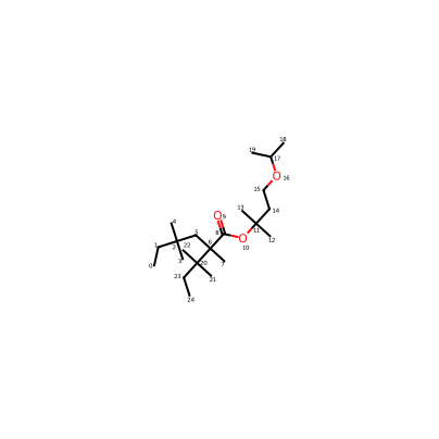 CCC(C)(C)CC(C)(C(=O)OC(C)(C)CCOC(C)C)C(C)(C)CC